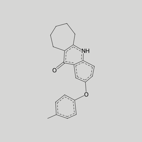 Cc1ccc(Oc2ccc3[nH]c4c(c(=O)c3c2)CCCCC4)cc1